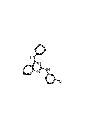 Clc1cccc(Nc2nc(Nc3ccccc3)c3ccccc3n2)c1